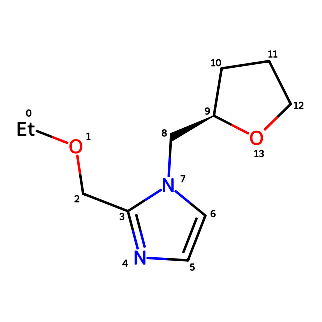 CCOCc1nccn1C[C@H]1CCCO1